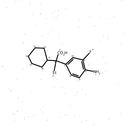 CCC(C(=O)O)(c1ccc(N)c(F)c1)C1CCCCC1